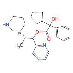 CC(C(OC(=O)C(O)(c1ccccc1)C1CCCC1)c1cnccn1)[C@H]1CCCNC1